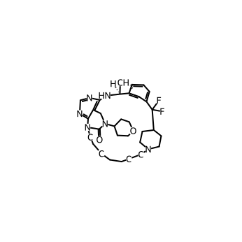 C[C@@H]1Nc2ncnc3c2CN(C2CCOCC2)C(=O)N3CCCCCCCN2CCC(CC2)C(F)(F)c2cccc1c2